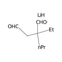 CCCC([C]=O)(CC)CC=O.[LiH]